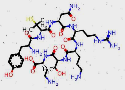 C[C@@H](O)[C@H](NC(=O)[C@H](CCCN)NC(=O)[C@H](CCCNC(=N)N)NC(=O)[C@H](CC(N)=O)NC(=O)[C@@H](NC(=O)[C@@H](N)Cc1ccc(O)cc1)C(C)(C)S)C(=O)N[C@H](CCN)C(=O)O